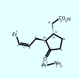 CC(C)N.CC/C=C\C[C@@H]1C(=O)CC[C@H]1CC(=O)O